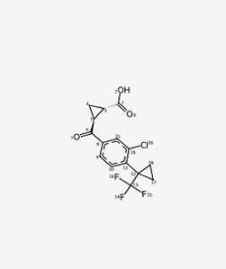 O=C(O)[C@H]1C[C@@H]1C(=O)c1ccc(C2(C(F)(F)F)CC2)c(Cl)c1